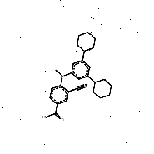 CN(c1cc(C2CCCCC2)cc(C2CCCCC2)c1)c1ccc(C(=O)O)cc1C#N